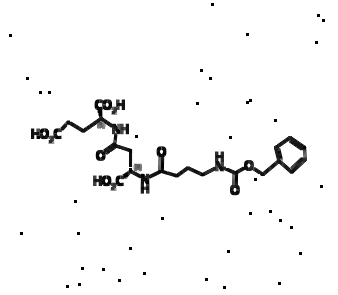 O=C(O)CC[C@H](NC(=O)C[C@@H](NC(=O)CCCNC(=O)OCc1ccccc1)C(=O)O)C(=O)O